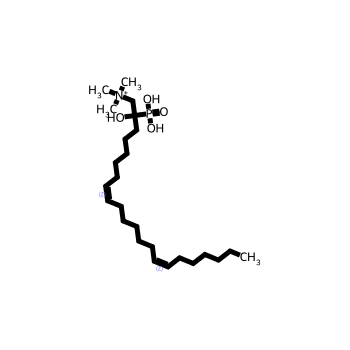 CCCCCC/C=C\CCCCC/C=C\CCCCCC(O)(C[N+](C)(C)C)P(=O)(O)O